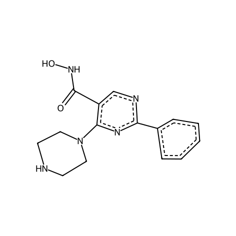 O=C(NO)c1cnc(-c2ccccc2)nc1N1CCNCC1